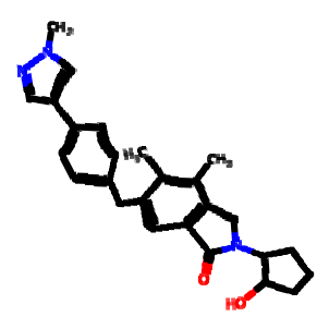 Cc1c(Cc2ccc(-c3cnn(C)c3)cc2)cc2c(c1C)CN(C1CCCC1O)C2=O